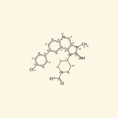 CCC(=O)N1CCC(n2c(=N)n(C)c3cnc4ccc(-c5ccc(Cl)cc5)cc4c32)CC1